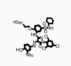 CCCCCCCCCCCCOc1ccc(S(=O)(=O)NC2CCCCC2)cc1NC1=NN(c2c(Cl)cc(Cl)cc2Cl)C(=O)C1/N=N/c1ccc(O)c(CCCC)c1